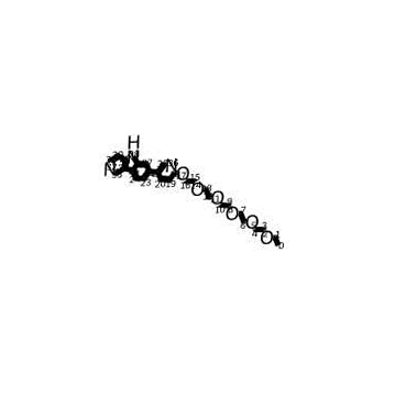 CCOCCOCCOCCOCCOCCOc1ccc(-c2ccc3c(c2)[nH]c2ccncc23)cn1